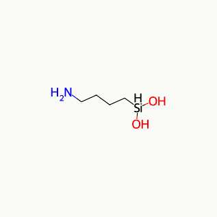 NCCCC[SiH](O)O